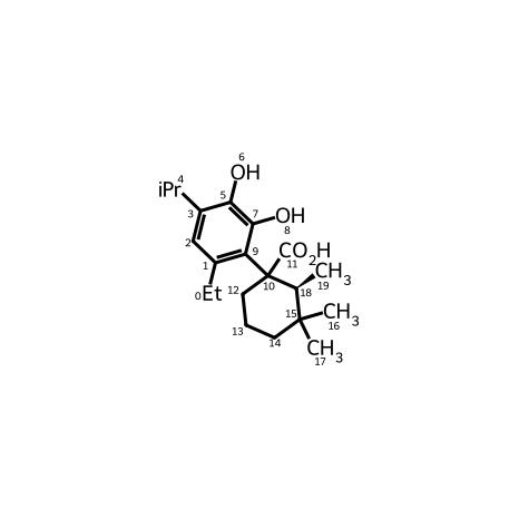 CCc1cc(C(C)C)c(O)c(O)c1C1(C(=O)O)CCCC(C)(C)[C@@H]1C